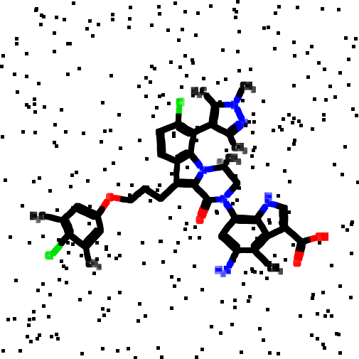 Cc1cc(OCCCc2c3n(c4c(-c5c(C)nn(C)c5C)c(Cl)ccc24)[C@H](C)CN(c2cc(N)c(C)c4c(C(=O)O)c[nH]c24)C3=O)cc(C)c1Cl